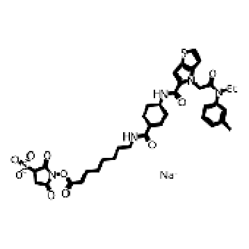 CCN(C(=O)Cn1c(C(=O)NC2CCC(C(=O)NCCCCCCCC(=O)ON3C(=O)CC(S(=O)(=O)[O-])C3=O)CC2)cc2sccc21)c1cccc(C)c1.[Na+]